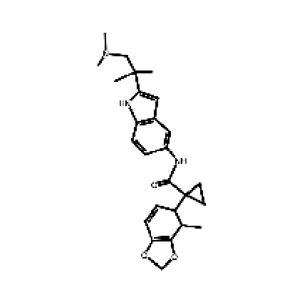 CC1C2=C(C=CC1C1(C(=O)Nc3ccc4[nH]c(C(C)(C)CN(C)C)cc4c3)CC1)OCO2